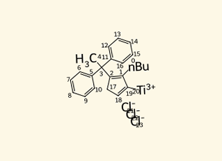 CCCCC1=C(C(C)(c2ccccc2)c2ccccc2)CC=[C]1[Ti+3].[Cl-].[Cl-].[Cl-]